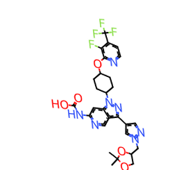 CC1(C)OCC(Cn2cc(-c3nn(C4CCC(Oc5nccc(C(F)(F)F)c5F)CC4)c4cc(NC(=O)O)ncc34)cn2)O1